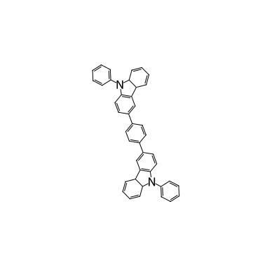 C1=CC2c3cc(-c4ccc(-c5ccc6c(c5)C5C=CC=CC5N6c5ccccc5)cc4)ccc3N(c3ccccc3)C2C=C1